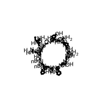 C#CCC(NC(=O)CNC(=O)[C@@H]1CSCC(=O)N[C@@H](Cc2ccc(O)cc2)C(=O)N(C)[C@@H](C)C(=O)N[C@@H](CC(N)=O)C(=O)N2CCC[C@H]2C(=O)N[C@@H](CN)C(=O)N[C@@H](CC(C)C)C(=O)N2C[C@H](O)C[C@H]2C(=O)N[C@@H](Cc2c[nH]c3ccccc23)C(=O)N[C@@H](CO)C(=O)N[C@@H](Cc2csc3ccccc23)C(=O)N(C)[C@@H](CCCC)C(=O)N(C)[C@@H](CCCC)C(=O)N[C@@H](CCCNC(=N)N)C(=O)N1)C(N)=O